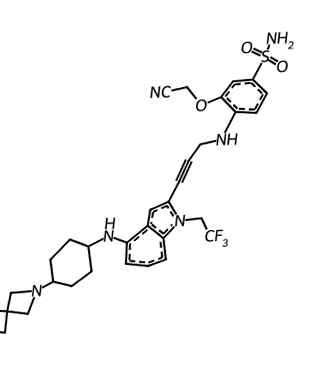 N#CCOc1cc(S(N)(=O)=O)ccc1NCC#Cc1cc2c(NC3CCC(N4CC5(COC5)C4)CC3)cccc2n1CC(F)(F)F